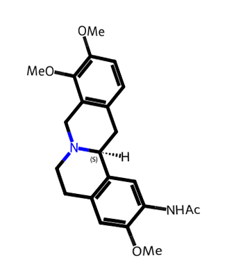 COc1cc2c(cc1NC(C)=O)[C@@H]1Cc3ccc(OC)c(OC)c3CN1CC2